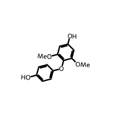 COc1cc(O)cc(OC)c1Oc1ccc(O)cc1